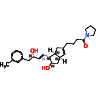 Cc1cccc(C[C@H](O)/C=C/[C@@H]2[C@H]3CC(CCCC(=O)N4CCCC4)=C[C@H]3C[C@H]2O)c1